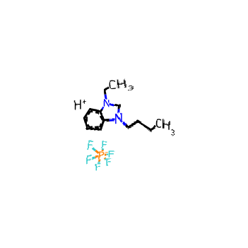 CCCCN1CN(CC)c2ccccc21.F[P-](F)(F)(F)(F)F.[H+]